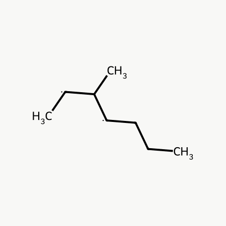 C[CH]C(C)[CH]CCC